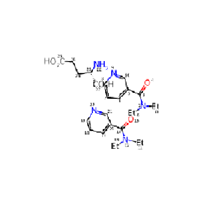 CCN(CC)C(=O)c1cccnc1.CCN(CC)C(=O)c1cccnc1.N[C@@H](CCC(=O)O)C(=O)O